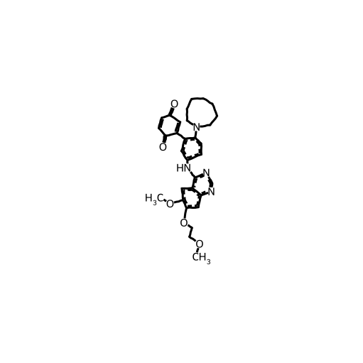 COCCOc1cc2ncnc(Nc3ccc(N4CCCCCCC4)c(C4=CC(=O)C=CC4=O)c3)c2cc1OC